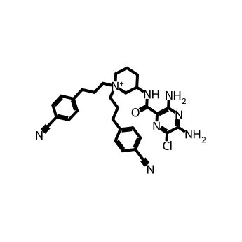 N#Cc1ccc(CCC[N+]2(CCCc3ccc(C#N)cc3)CCCC(NC(=O)c3nc(Cl)c(N)nc3N)C2)cc1